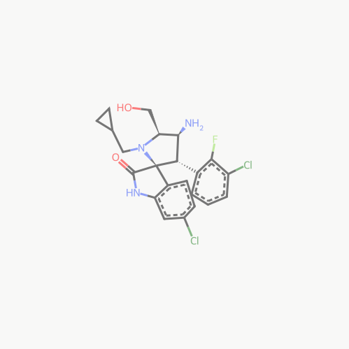 N[C@@H]1[C@H](CO)N(CC2CC2)[C@@]2(C(=O)Nc3cc(Cl)ccc32)[C@H]1c1cccc(Cl)c1F